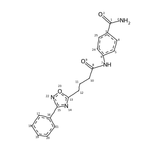 NC(=O)c1ccc(NC(=O)CCCc2nc(-c3ccccc3)no2)cc1